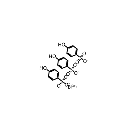 O=S(=O)([O-])c1ccc(O)cc1.O=S(=O)([O-])c1ccc(O)cc1.O=S(=O)([O-])c1ccc(O)cc1.[Bi+3]